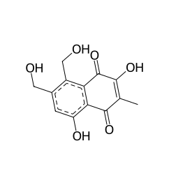 CC1=C(O)C(=O)c2c(CO)c(CO)cc(O)c2C1=O